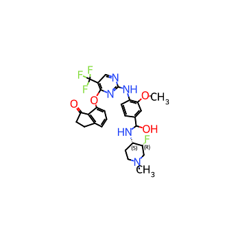 COc1cc(C(O)N[C@H]2CCN(C)C[C@H]2F)ccc1Nc1ncc(C(F)(F)F)c(Oc2cccc3c2C(=O)CC3)n1